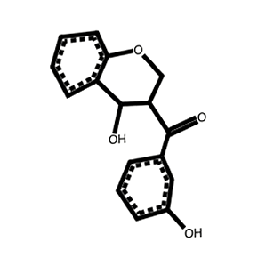 O=C(c1cccc(O)c1)C1COc2ccccc2C1O